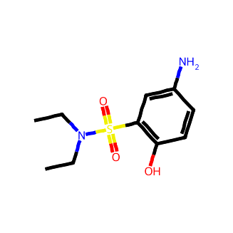 CCN(CC)S(=O)(=O)c1cc(N)ccc1O